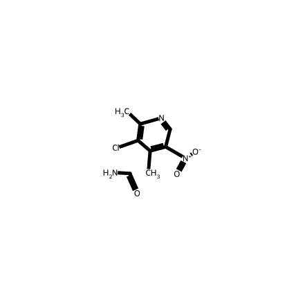 Cc1ncc([N+](=O)[O-])c(C)c1Cl.NC=O